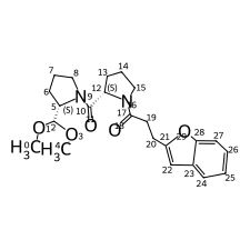 COC(OC)[C@@H]1CCCN1C(=O)[C@@H]1CCCN1C(=O)CCc1cc2ccccc2o1